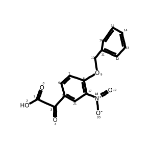 O=C(O)C(=O)c1ccc(OCc2ccccc2)c([N+](=O)[O-])c1